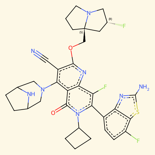 N#Cc1c(OC[C@@]23CCCN2C[C@H](F)C3)nc2c(F)c(-c3ccc(F)c4sc(N)nc34)n(C3CCC3)c(=O)c2c1N1CC2CCC(C1)N2